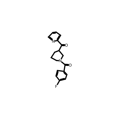 O=C(c1ccccn1)C1CCCN(C(=O)c2ccc(F)cc2)C1